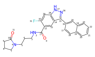 O=C(NCCCN1CCCC1=O)c1cc2c(-c3ccc4ccccc4c3)n[nH]c2cc1F